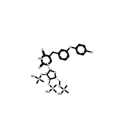 CC(C)(C)[Si](C)(C)OC[C@H]1O[C@@H](n2cc(Cc3cccc(Oc4ccc(Cl)cc4)c3)c(=O)[nH]c2=O)[C@H](O[Si](C)(C)C(C)(C)C)[C@@H]1O[Si](C)(C)C(C)(C)C